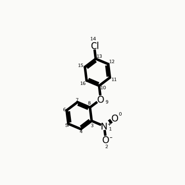 O=[N+]([O-])c1c[c]ccc1Oc1ccc(Cl)cc1